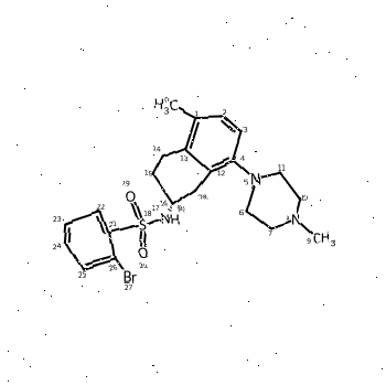 Cc1ccc(N2CCN(C)CC2)c2c1CC[C@@H](NS(=O)(=O)c1ccccc1Br)C2